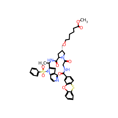 COC(=O)CCCCCOC[C@H]1CC(C(=O)NC(C)c2cc3cnccc3n2S(=O)(=O)c2ccccc2)N(C(=O)CNC(=O)c2ccc3c(c2)Oc2ccccc2S3)C1